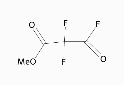 COC(=O)C(F)(F)C(=O)F